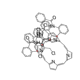 O=C(Nc1ccccc1C1=CC2=CC3=NC(=CC4=NC(=CC5=NC(=C(c6ccccc6NC(=O)c6ccccc6CCl)C1=N2)C(c1ccccc1NC(=O)c1ccccc1CCl)=C5c1ccccc1NC(=O)c1ccccc1CCl)C=C4)C=C3)c1ccccc1CCl